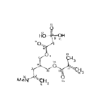 C=C(CC(COC(=O)CP(=O)(O)O)COC(=O)C(=C)C)NC